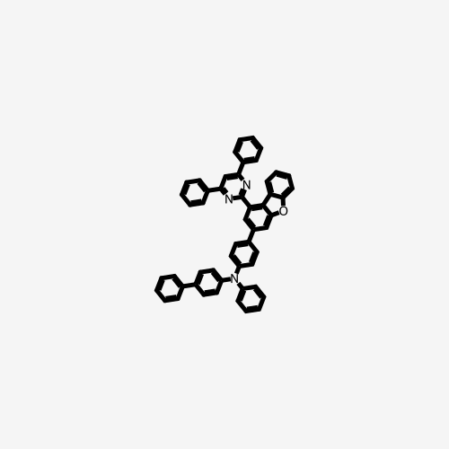 c1ccc(-c2ccc(N(c3ccccc3)c3ccc(-c4cc(-c5nc(-c6ccccc6)cc(-c6ccccc6)n5)c5c(c4)oc4ccccc45)cc3)cc2)cc1